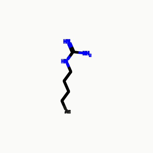 CC(=O)CCCCNC(=N)N